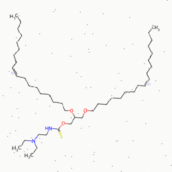 CCCCCCCC/C=C\CCCCCCCCOCC(COC(=S)NCCN(CC)CC)OCCCCCCCC/C=C\CCCCCCCC